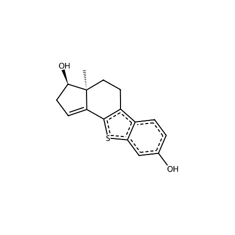 C[C@]12CCc3c(sc4cc(O)ccc34)C1=CC[C@H]2O